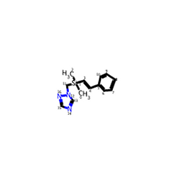 C[Si](C)(/C=C/c1ccccc1)Cn1cncn1